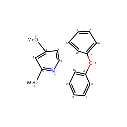 COc1ccnc(OC)c1.c1ccc(Oc2ccccc2)cc1